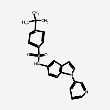 CC(C)(C)c1ccc(S(=O)(=O)Nc2ccc3c(ccn3-c3cccnc3)c2)cc1